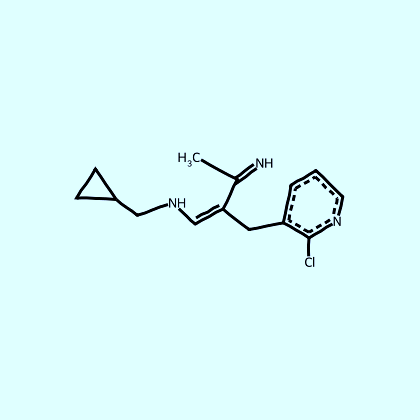 CC(=N)/C(=C\NCC1CC1)Cc1cccnc1Cl